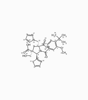 COc1cc(C(=O)N2[C@@H](c3nccs3)[C@@](CO)(C(=O)O)C[C@@]2(Cn2cccn2)C(=O)O)ccc1C(C)(C)C